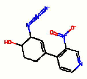 [N-]=[N+]=NC1C=C(c2ccncc2[N+](=O)[O-])CCC1O